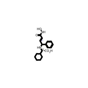 O=C(/C=C/C(N[C@H](C(=O)O)C1CCCCC1)c1ccccc1)NO